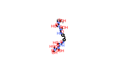 CCN(CCN(CCN(CC(=O)O)CC(=O)Nc1ccc(Cc2ccc(NC(=O)CN(CCN(CCN(CC(=O)O)CC(=O)O)CC(=O)O)CC(=O)O)cc2)cc1)CC(=O)O)CC(=O)O